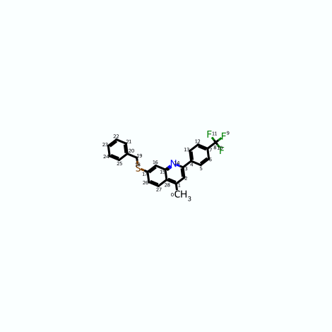 Cc1cc(-c2ccc(C(F)(F)F)cc2)nc2cc(SCc3ccccc3)ccc12